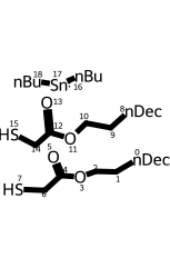 CCCCCCCCCCCCOC(=O)CS.CCCCCCCCCCCCOC(=O)CS.CCC[CH2][Sn][CH2]CCC